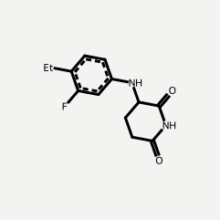 CCc1ccc(NC2CCC(=O)NC2=O)cc1F